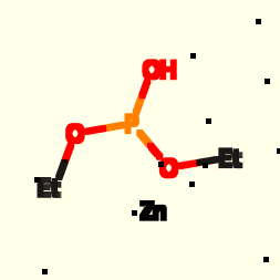 CCOP(O)OCC.[Zn]